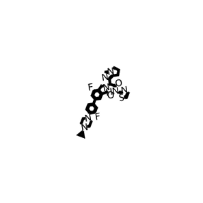 O=C(Nc1nccs1)C(c1ncn2c1CCC2)N1Cc2c(F)cc(-c3ccc(N4CCN(C5CC5)CC4)c(F)c3)cc2C1=O